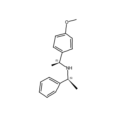 COc1ccc([C@H](C)N[C@@H](C)c2ccccc2)cc1